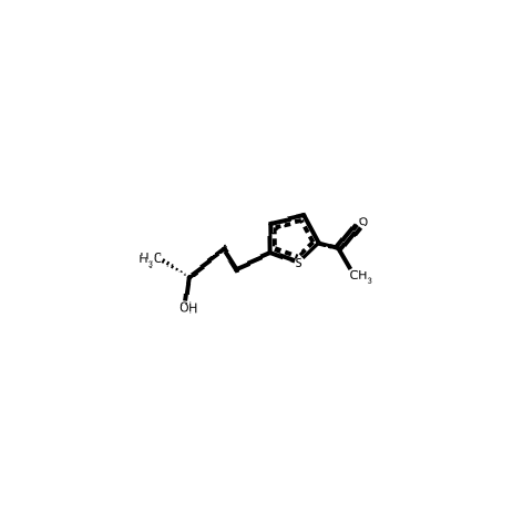 CC(=O)c1ccc(CC[C@@H](C)O)s1